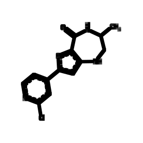 CC1CNc2cc(-c3ccnc(Cl)c3)sc2C(=O)N1